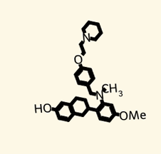 COc1ccc(C2CCc3cc(O)ccc3C2)c(N(C)Cc2ccc(OCCN3CCCCC3)cc2)c1